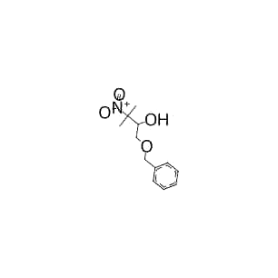 CC(C)(C(O)COCc1ccccc1)[N+](=O)[O-]